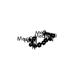 COC[C@@H](CON1CCOC[C@H]1c1ncc(-c2ccc3cc(-c4ccc(-c5cnc([C@@H]6CCCN6C(=O)[C@H](NC(=O)OC)c6ccccc6)[nH]5)cc4)ccc3c2)[nH]1)NC(=O)OC